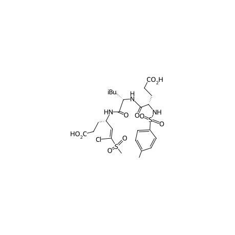 CCC(C)[C@H](NC(=O)[C@H](CCC(=O)O)NS(=O)(=O)c1ccc(C)cc1)C(=O)N[C@H](/C=C(\Cl)S(C)(=O)=O)CCC(=O)O